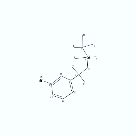 CC(C)(C[Si](C)(C)C(C)(C)C)c1cccc(Br)c1